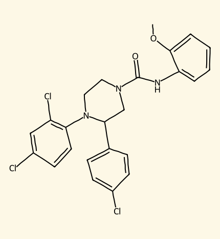 COc1ccccc1NC(=O)N1CCN(c2ccc(Cl)cc2Cl)C(c2ccc(Cl)cc2)C1